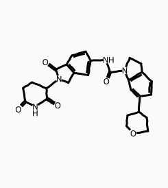 O=C1CCC(N2Cc3cc(NC(=O)N4CCc5ccc(C6CCOCC6)cc54)ccc3C2=O)C(=O)N1